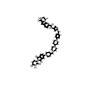 C[C@@H]1CNC(=O)c2cc3ccc(C(=O)Nc4cnn(Cc5ccc(N6CCC(N7CCN(CC8CCN(c9ccc%10c(c9)C(=O)N(N9CCC(=O)NC9=O)C%10=O)CC8)CC7)CC6)cc5)c4)nc3n21